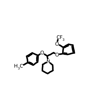 Cc1ccc(OC(COc2ccccc2OC(F)(F)F)N2CCCCC2)cc1